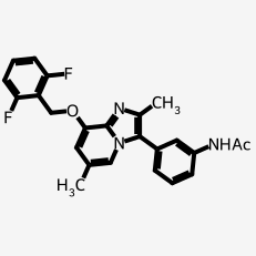 CC(=O)Nc1cccc(-c2c(C)nc3c(OCc4c(F)cccc4F)cc(C)cn23)c1